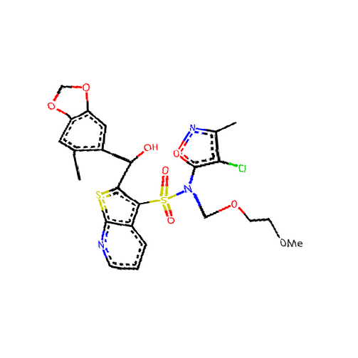 COCCOCN(c1onc(C)c1Cl)S(=O)(=O)c1c(C(O)c2cc3c(cc2C)OCO3)sc2ncccc12